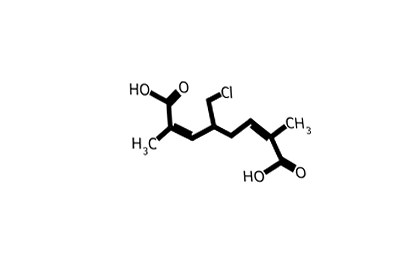 CC(=CCC(C=C(C)C(=O)O)CCl)C(=O)O